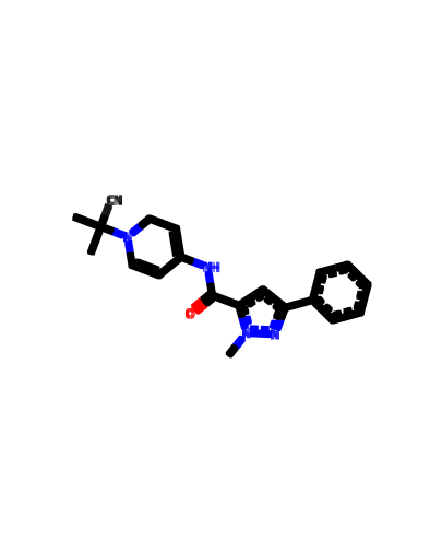 Cn1nc(-c2ccccc2)cc1C(=O)NC1=CCN(C(C)(C)C#N)C=C1